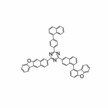 c1ccc2c(-c3ccc(-c4nc(-c5ccc6cc7c(cc6c5)oc5ccccc57)nc(-c5ccc6c(-c7cccc8oc9ccccc9c78)cccc6c5)n4)cc3)cccc2c1